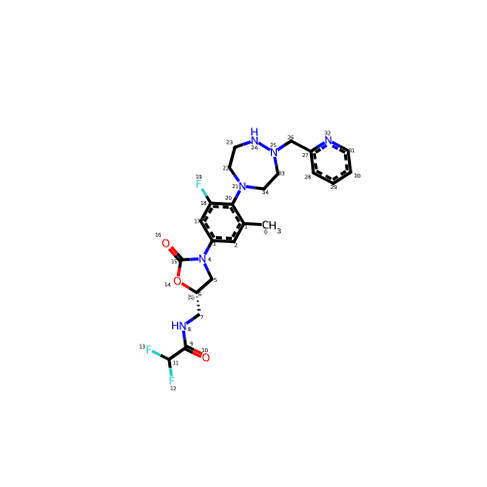 Cc1cc(N2C[C@H](CNC(=O)C(F)F)OC2=O)cc(F)c1N1CCNN(Cc2ccccn2)CC1